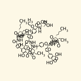 CCCCC[C@@H](C(=O)NCNC(=O)c1ccc(-c2cc(O)c(C(=O)ON(C=O)[C@H](CC)[C@@H](CCc3ccccc3)C(=O)NCNC(=O)c3ccc(-c4ccc(C(=O)N[C@@H](CC(=O)O)C(=O)O)c(OCC)c4)o3)c(OCC)c2)o1)[C@@H](CC)N(O)C=O.CCCCC[C@@H](C(=O)NCNC(=O)c1ccc(-c2ccc(C(=O)O)c(C(=O)O)c2)o1)[C@@H](CC)N(O)C=O